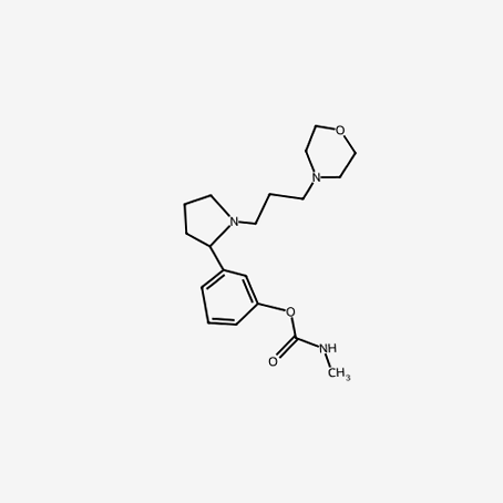 CNC(=O)Oc1cccc(C2CCCN2CCCN2CCOCC2)c1